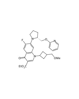 CCOC(=O)c1cn(C2CC(COC)C2)c2cc(N3CCC[C@@H]3COc3ccccn3)c(F)cc2c1=O